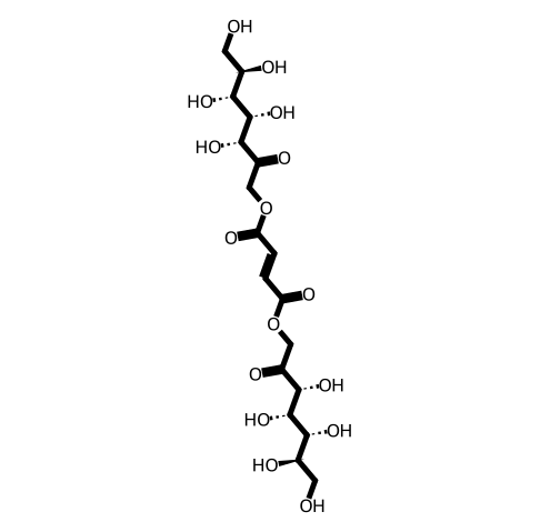 O=C(/C=C/C(=O)OCC(=O)[C@H](O)[C@@H](O)[C@H](O)[C@H](O)CO)OCC(=O)[C@H](O)[C@@H](O)[C@H](O)[C@H](O)CO